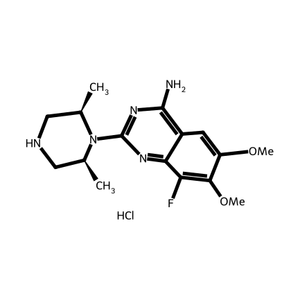 COc1cc2c(N)nc(N3[C@H](C)CNC[C@@H]3C)nc2c(F)c1OC.Cl